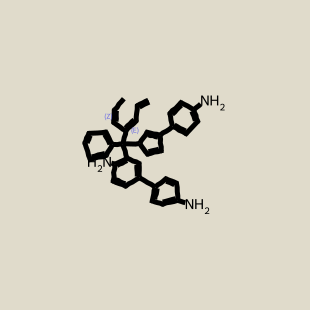 C=C/C=C(\C=C/C)C(c1ccccc1)(c1cc(-c2ccc(N)cc2)ccc1N)C1C=CC(c2ccc(N)cc2)=C1